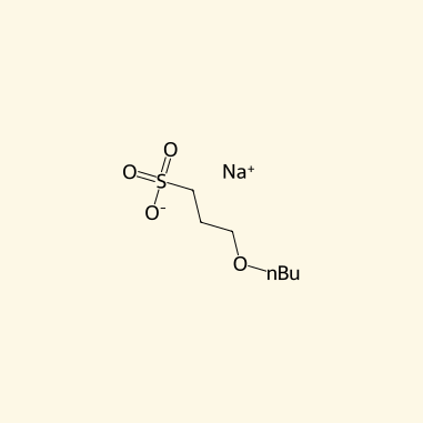 CCCCOCCCS(=O)(=O)[O-].[Na+]